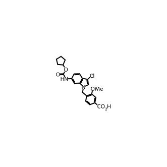 COc1cc(C(=O)O)ccc1Cn1cc(Cl)c2ccc(NC(=O)OC3CCCC3)cc21